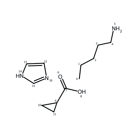 CCCCCN.O=C(O)C1CC1.c1c[nH]cn1